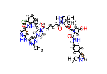 Cc1nc(Nc2ncc(C(=O)Nc3c(C)cccc3Cl)s2)cc(N2CCN(C(=O)CCCCC(=O)N[C@H](COCN3C[C@H](O)C[C@H]3C(=O)NCc3ccc(-c4scnc4C)cc3)C(C)(C)C)CC2)n1